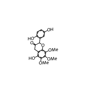 COc1c(O)c2c(c(OC)c1OC)OC(c1cc(O)ccc1O)C(=O)C2